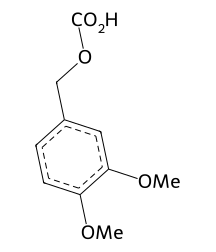 COc1ccc(COC(=O)O)cc1OC